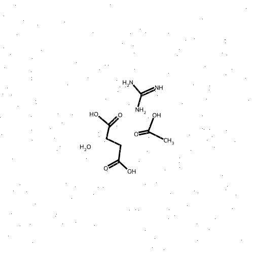 CC(=O)O.N=C(N)N.O.O=C(O)CCC(=O)O